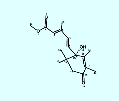 COC(=O)C=C(C)C=C[C@@]1(O)C(C)=C(C)C(=O)CC1(C)C